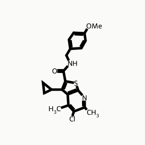 COc1ccc(CNC(=O)c2sc3nc(C)c(Cl)c(C)c3c2C2CC2)cc1